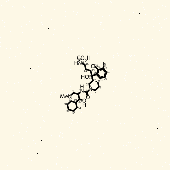 CNCC(NC(=O)N1CCC[C@@H]([C@@](O)(CCCNC(=O)O)c2cccc(F)c2Cl)C1)C(O)C1CCCCC1